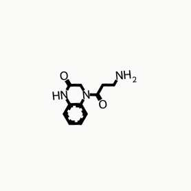 NCCC(=O)N1CC(=O)Nc2ccccc21